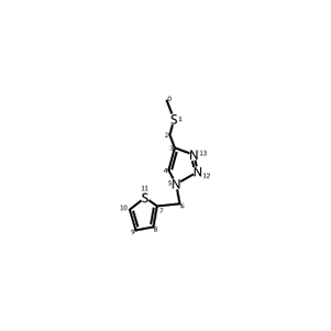 CSCc1cn(Cc2cccs2)nn1